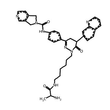 CC(N)C(=O)NCCCCCCN1N=C(c2ccc(NC(=O)N3Cc4ccncc4C3)cc2)CC(c2ccc3cccnc3c2)C1=O